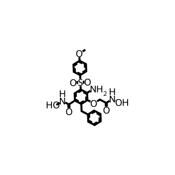 COc1ccc(S(=O)(=O)c2cc(C(=O)NO)c(Cc3ccccc3)c(OCC(=O)NO)c2N)cc1